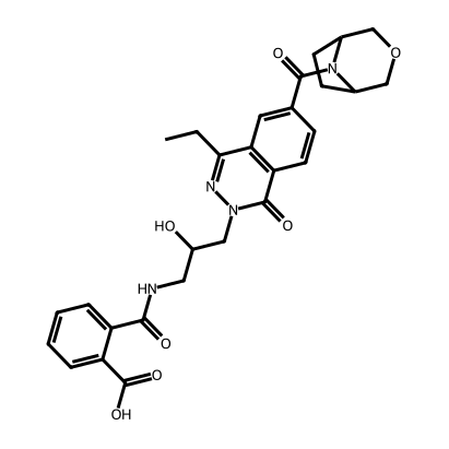 CCc1nn(CC(O)CNC(=O)c2ccccc2C(=O)O)c(=O)c2ccc(C(=O)N3C4CCC3COC4)cc12